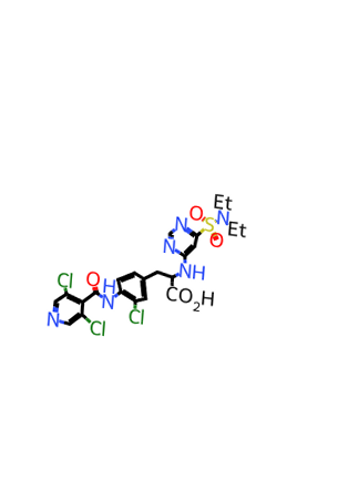 CCN(CC)S(=O)(=O)c1cc(NC(Cc2ccc(NC(=O)c3c(Cl)cncc3Cl)c(Cl)c2)C(=O)O)ncn1